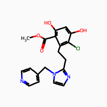 COC(=O)c1c(O)cc(O)c(Cl)c1CCc1nccn1Cc1ccncc1